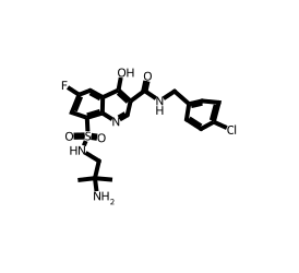 CC(C)(N)CNS(=O)(=O)c1cc(F)cc2c(O)c(C(=O)NCc3ccc(Cl)cc3)cnc12